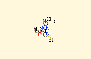 CCSc1ccc(S(=O)(=O)CC)c(-c2nc3cc(C)ncc3n2C)n1